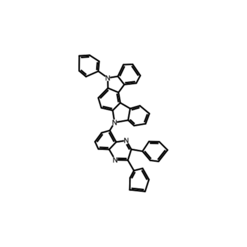 c1ccc(-c2nc3cccc(-n4c5ccccc5c5c6c7ccccc7n(-c7ccccc7)c6ccc54)c3nc2-c2ccccc2)cc1